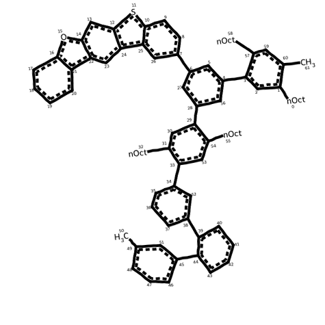 CCCCCCCCc1cc(-c2cc(-c3ccc4sc5cc6oc7ccccc7c6cc5c4c3)cc(-c3cc(CCCCCCCC)c(-c4cccc(-c5ccccc5-c5cccc(C)c5)c4)cc3CCCCCCCC)c2)c(CCCCCCCC)cc1C